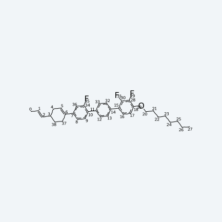 C/C=C/C1CC=C(c2ccc(-c3ccc(-c4ccc(OCCCCCCCC)c(F)c4F)cc3)c(F)c2)CC1